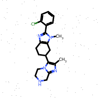 Cc1nc2n(c1C1CCc3nc(-c4ccccc4Cl)n(C)c3C1)CCNC2